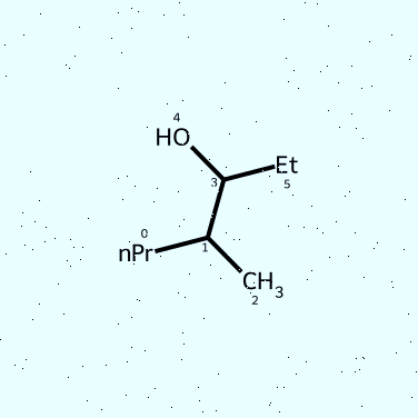 CCCC(C)C(O)CC